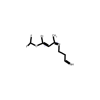 CC/C(=C\C(C)=N/CCC=N)OC(F)F